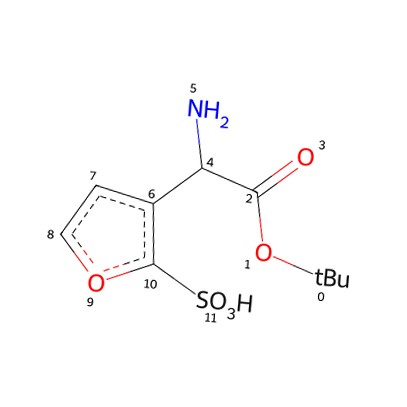 CC(C)(C)OC(=O)C(N)c1ccoc1S(=O)(=O)O